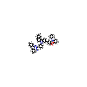 c1ccc(-c2nc(-c3cccc(-n4c5cc(-c6ccc7c(c6)N(c6ccccc6)c6ccccc6O7)ccc5c5c6ccccc6ccc54)c3)nc3ccccc23)cc1